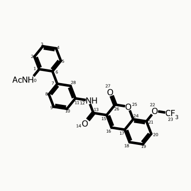 CC(=O)Nc1ccccc1-c1cccc(NC(=O)c2cc3cccc(OC(F)(F)F)c3oc2=O)c1